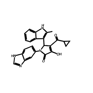 Cc1[nH]c2ccccc2c1C1C(C(=O)C2CC2)=C(O)C(=O)N1c1ccc2[nH]cnc2c1